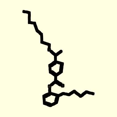 CCCCCCCCOC(C)c1ccc(C(=O)Oc2ccccc2CCCCCC)cc1